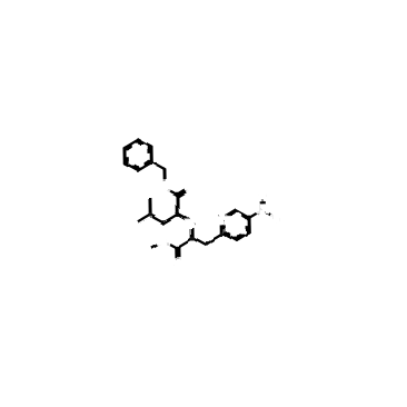 COC(=O)C(Cc1ccc([N+](=O)[O-])cn1)NC(CC(C)C)C(=O)OCc1ccccc1